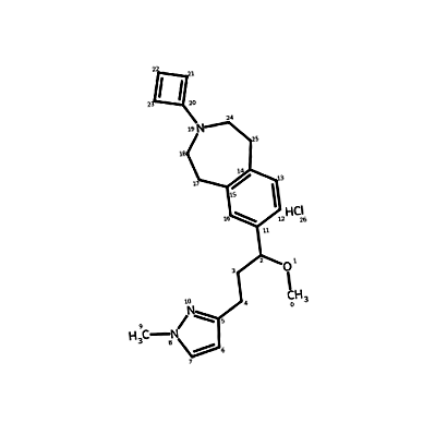 COC(CCc1ccn(C)n1)c1ccc2c(c1)CCN(C1=CC=C1)CC2.Cl